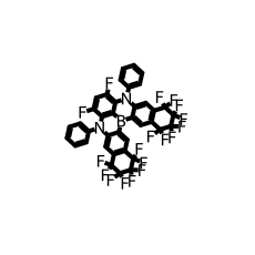 Fc1cc(F)c2c3c1N(c1ccccc1)c1cc4c(cc1B3c1cc3c(cc1N2c1ccccc1)C(F)(F)C(F)(F)C(F)(F)C3(F)F)C(F)(F)C(F)(F)C(F)(F)C4(F)F